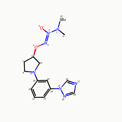 CN(/[N+]([O-])=N/O[C@@H]1CCN(c2cccc(-n3cncn3)c2)C1)C(C)(C)C